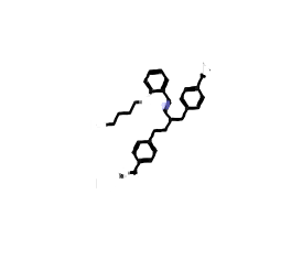 COC(=O)c1ccc(CCC(/C=C/c2ccccc2OCCCCBr)Cc2ccc(C#N)cc2)cc1